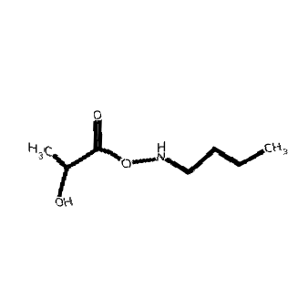 CCCCNOC(=O)C(C)O